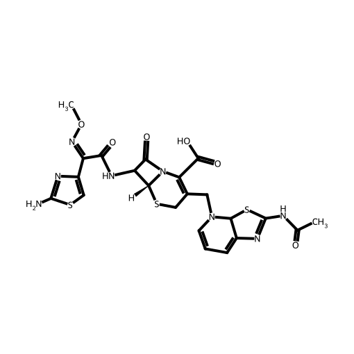 CO/N=C(\C(=O)NC1C(=O)N2C(C(=O)O)=C(CN3C=CC=C4N=C(NC(C)=O)SC43)CS[C@H]12)c1csc(N)n1